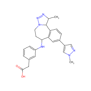 CC1N=NN2CCC(Nc3cccc(CC(=O)O)c3)c3cc(-c4cnn(C)c4)ccc3C12